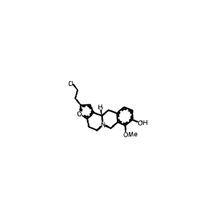 COc1c(O)ccc2c1CN1CCc3oc(CCCl)cc3[C@@H]1C2